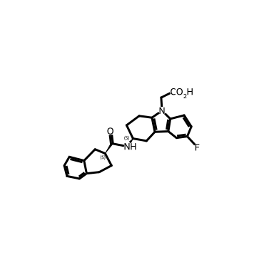 O=C(O)Cn1c2c(c3cc(F)ccc31)C[C@@H](NC(=O)[C@H]1CCc3ccccc3C1)CC2